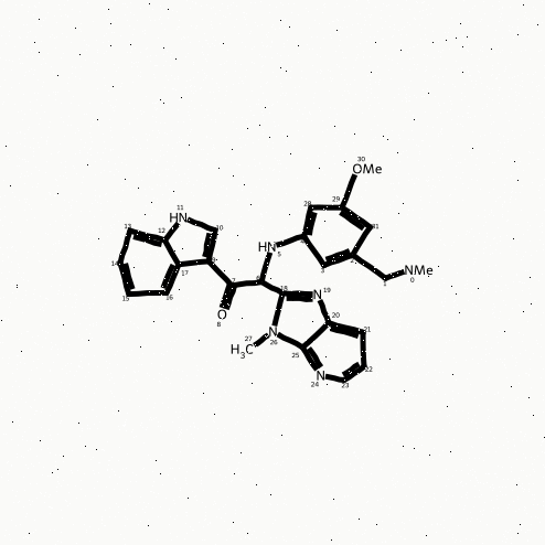 CNCc1cc(NC(C(=O)c2c[nH]c3ccccc23)c2nc3cccnc3n2C)cc(OC)c1